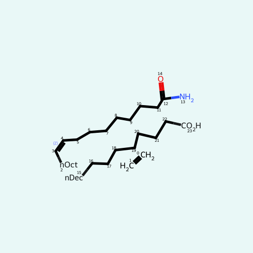 C=C.CCCCCCCC/C=C\CCCCCCCC(N)=O.CCCCCCCCCCCCCCCCCC(=O)O